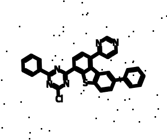 Clc1nc(-c2ccccc2)nc(-c2ccc(-c3ccncn3)c3c2sc2ccc(-c4ccccc4)cc23)n1